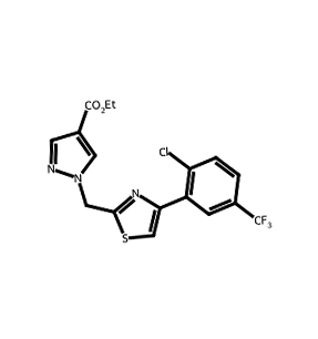 CCOC(=O)c1cnn(Cc2nc(-c3cc(C(F)(F)F)ccc3Cl)cs2)c1